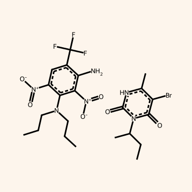 CCC(C)n1c(=O)[nH]c(C)c(Br)c1=O.CCCN(CCC)c1c([N+](=O)[O-])cc(C(F)(F)F)c(N)c1[N+](=O)[O-]